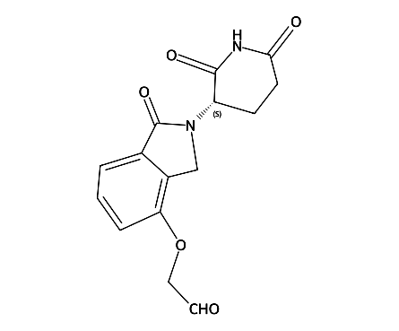 O=CCOc1cccc2c1CN([C@H]1CCC(=O)NC1=O)C2=O